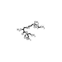 CCO[Si](C)(C)CCCNCC(C)C(=O)O[Si](CC)(CC)CC